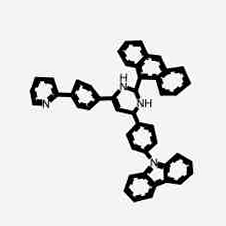 C1=C(c2ccc(-c3ccccn3)cc2)NC(c2c3ccccc3cc3ccccc23)NC1c1ccc(-n2c3ccccc3c3ccccc32)cc1